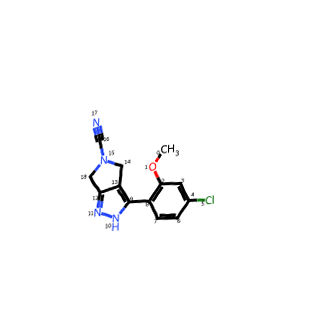 COc1cc(Cl)ccc1-c1[nH]nc2c1CN(C#N)C2